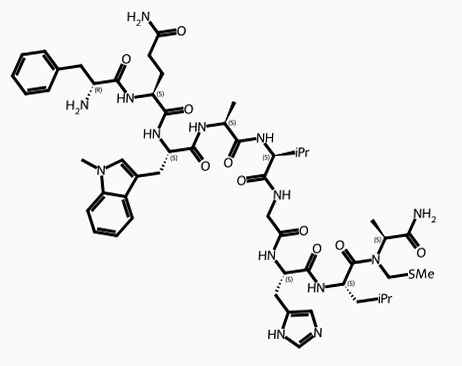 CSCN(C(=O)[C@H](CC(C)C)NC(=O)[C@H](Cc1cnc[nH]1)NC(=O)CNC(=O)[C@@H](NC(=O)[C@H](C)NC(=O)[C@H](Cc1cn(C)c2ccccc12)NC(=O)[C@H](CCC(N)=O)NC(=O)[C@H](N)Cc1ccccc1)C(C)C)[C@@H](C)C(N)=O